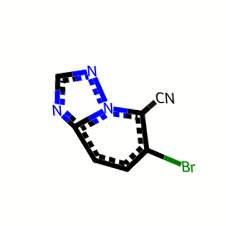 N#Cc1c(Br)ccc2ncnn12